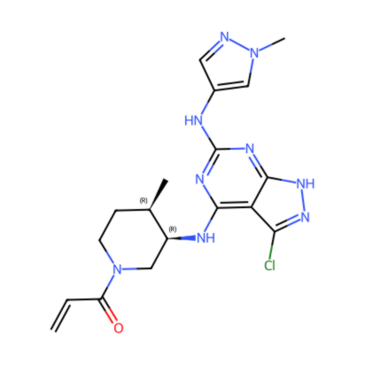 C=CC(=O)N1CC[C@@H](C)[C@@H](Nc2nc(Nc3cnn(C)c3)nc3[nH]nc(Cl)c23)C1